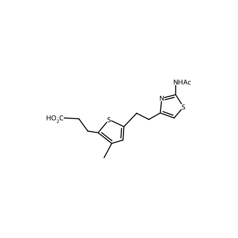 CC(=O)Nc1nc(CCc2cc(C)c(CCC(=O)O)s2)cs1